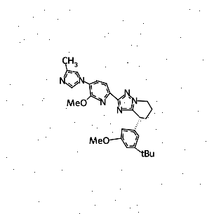 COc1cc([C@H]2CCCn3nc(-c4ccc(-n5cnc(C)c5)c(OC)n4)nc32)cc(C(C)(C)C)c1